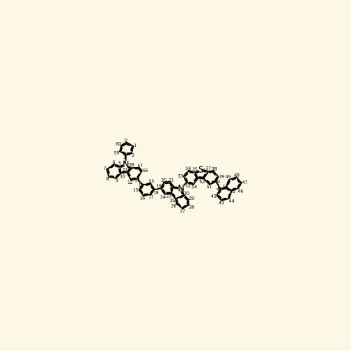 c1ccc(-n2c3ccccc3c3cc(-c4cccc(-c5ccc6c(c5)c5ccccc5n6-c5ccc6sc7ccc(-c8cccc9ccccc89)cc7c6c5)c4)ccc32)cc1